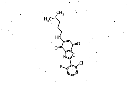 CN(C)CCCNC1=CC(=O)c2oc(-c3c(F)cccc3Cl)nc2C1=O